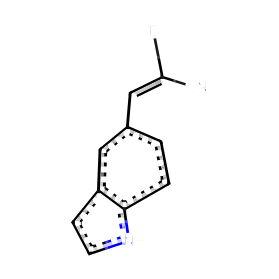 CC/C(C#N)=C/c1ccc2[nH]ccc2c1